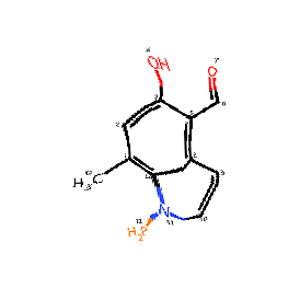 Cc1cc(O)c(C=O)c2ccn(P)c12